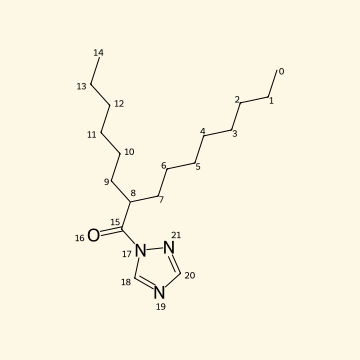 CCCCCCCCC(CCCCCC)C(=O)n1cncn1